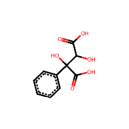 O=C(O)C(O)C(O)(C(=O)O)c1ccccc1